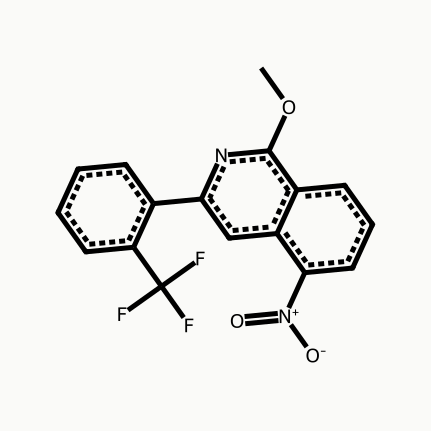 COc1nc(-c2ccccc2C(F)(F)F)cc2c([N+](=O)[O-])cccc12